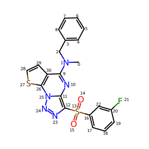 CN(Cc1ccccc1)c1nc2c(S(=O)(=O)c3cccc(F)c3)nnn2c2sccc12